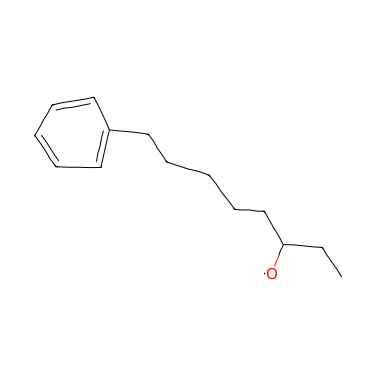 CCC([O])CCCCCc1ccccc1